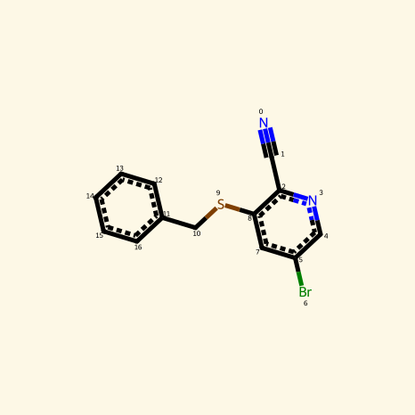 N#Cc1ncc(Br)cc1SCc1ccccc1